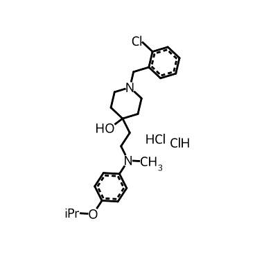 CC(C)Oc1ccc(N(C)CCC2(O)CCN(Cc3ccccc3Cl)CC2)cc1.Cl.Cl